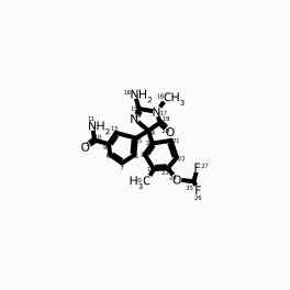 Cc1cc(C2(c3cccc(C(N)=O)c3)N=C(N)N(C)C2=O)ccc1OC(F)F